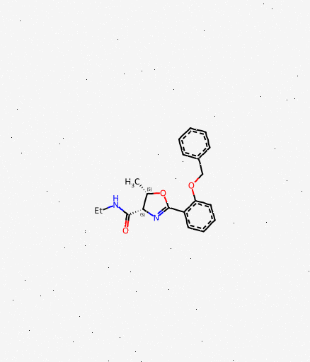 CCNC(=O)[C@H]1N=C(c2ccccc2OCc2ccccc2)O[C@H]1C